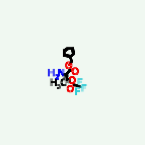 C[C@H](OC(=O)C(F)(F)F)[C@H](N)C(=O)OCc1ccccc1